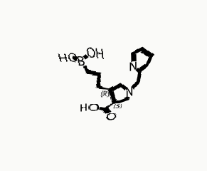 O=C(O)[C@@H]1CN(Cc2ccccn2)C[C@@H]1CCCB(O)O